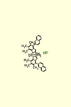 CC1=Cc2c(-c3ccc4ccccc4c3)c(C)c(C)c(C)c2[CH]1[Zr+2]1([CH]2C(C)=Cc3c(-c4ccc5ccccc5c4)c(C)c(C)c(C)c32)[CH2][CH2]1.[Cl-].[Cl-]